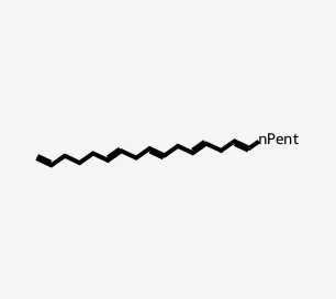 C=CCCCC=CCC=CCC=CCC=CCCCCC